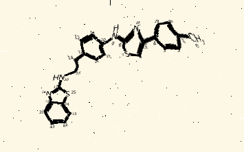 Cc1ccc(-c2csc(Nc3ccc(CCNc4nc5ccccc5s4)cc3)n2)cc1